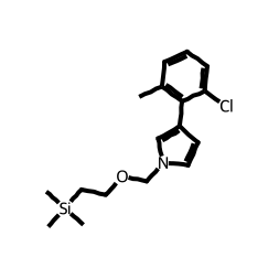 Cc1cccc(Cl)c1-c1ccn(COCC[Si](C)(C)C)c1